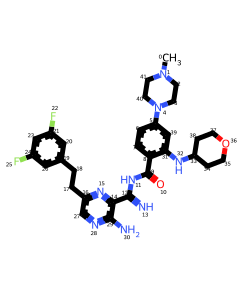 CN1CCN(c2ccc(C(=O)NC(=N)c3nc(CCc4cc(F)cc(F)c4)cnc3N)c(NC3CCOCC3)c2)CC1